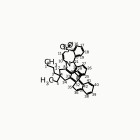 CCCCC1(CC)CC(N2C=CS(=O)(=O)c3ccccc3C2c2ccccc2)=c2ccc3c(c2C1)CC=c1ccccc1=3